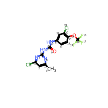 Cc1cc(Cl)nc(NC(=O)Nc2ccc(OC(F)(F)F)c(Cl)c2)n1